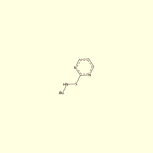 CCC(C)NSc1ncccn1